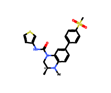 CC(=O)N1c2ccc(-c3ccc(S(C)(=O)=O)cc3)cc2N(C(=O)Nc2ccsc2)C[C@@H]1C